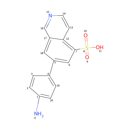 Nc1ccc(-c2cc(S(=O)(=O)O)c3ccncc3c2)cc1